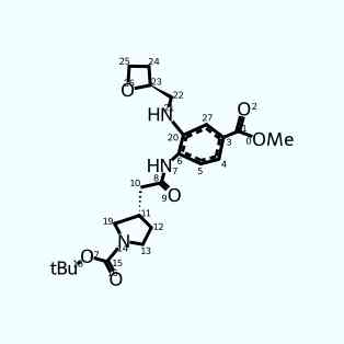 COC(=O)c1ccc(NC(=O)C[C@@H]2CCN(C(=O)OC(C)(C)C)C2)c(NC[C@@H]2CCO2)c1